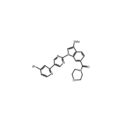 CSc1cn(-c2ncc(-c3cc(C(C)C)ccn3)cn2)c2cc(C(=O)N3CCOCC3)ccc12